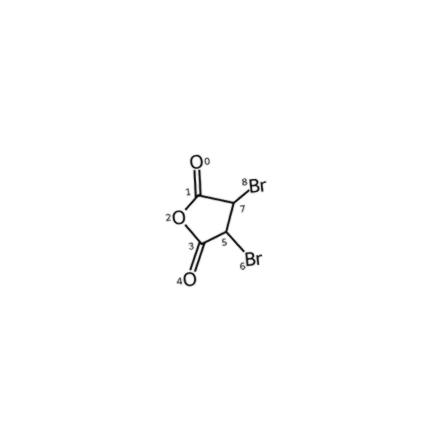 O=C1OC(=O)C(Br)C1Br